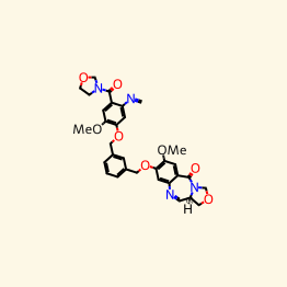 C=Nc1cc(OCc2cccc(COc3cc4c(cc3OC)C(=O)N3COC[C@H]3C=N4)c2)c(OC)cc1C(=O)N1CCOC1